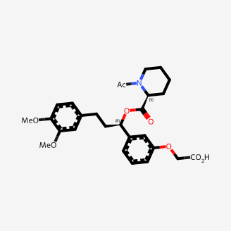 COc1ccc(CC[C@@H](OC(=O)[C@@H]2CCCCN2C(C)=O)c2cccc(OCC(=O)O)c2)cc1OC